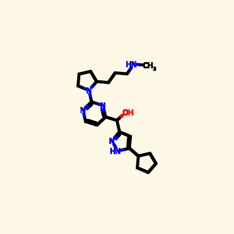 CNCCCC1CCCN1c1nccc(C(O)c2cc(C3CCCC3)[nH]n2)n1